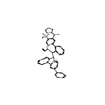 C=CC1C(C2c3ccccc3-c3cc(-c4ccccc4)cc[n+]32)c2ccccc2-c2cc(C(C)C3CCCC3)c([Si](C)(C)C)c[n+]21